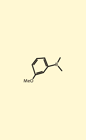 COc1cccc(B(C)C)c1